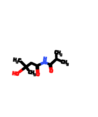 CC(C)C(=O)NC(=O)CC(C)(C)O